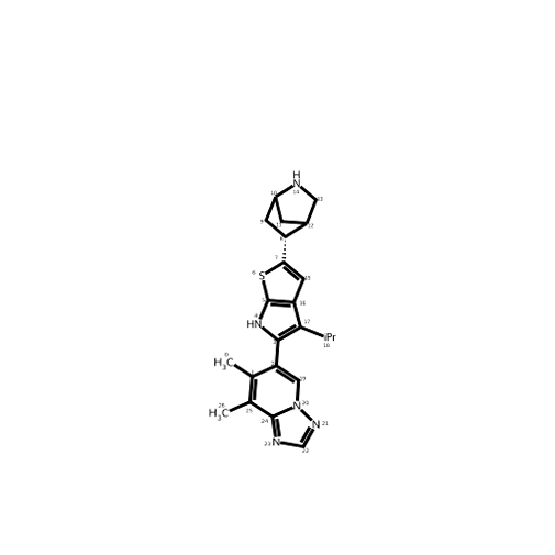 Cc1c(-c2[nH]c3sc([C@@H]4CC5CC4CN5)cc3c2C(C)C)cn2ncnc2c1C